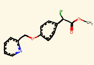 COC(=O)C(Br)c1ccc(OCc2ccccn2)cc1